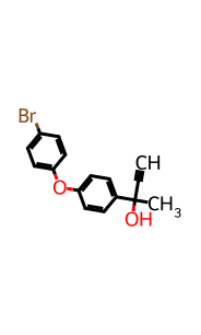 C#CC(C)(O)c1ccc(Oc2ccc(Br)cc2)cc1